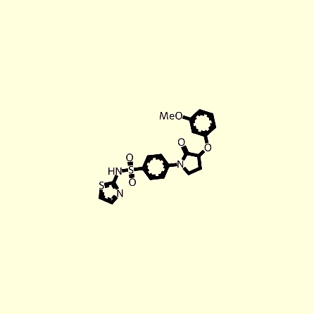 COc1cccc(OC2CCN(c3ccc(S(=O)(=O)Nc4nccs4)cc3)C2=O)c1